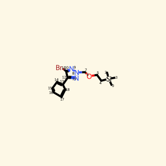 C[Si](C)(C)CCOCn1nc(Br)c(-c2ccccc2)n1